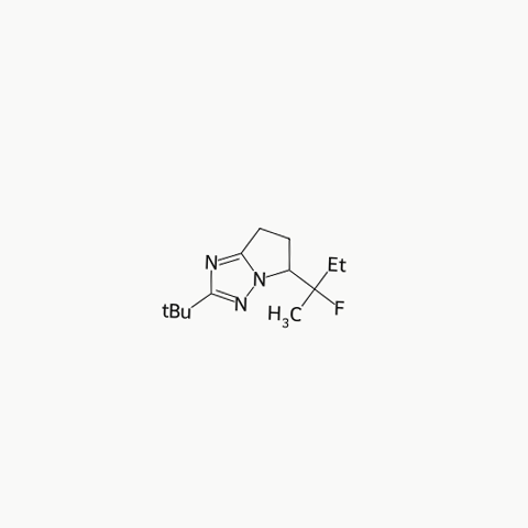 CCC(C)(F)C1CCc2nc(C(C)(C)C)nn21